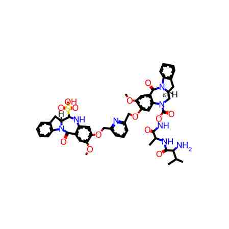 COc1cc2c(cc1OCc1cccc(COc3cc4c(cc3OC)C(=O)N3c5ccccc5C[C@H]3CN4C(=O)ONC(=O)C(C)NC(=O)C(N)C(C)C)n1)NC(S(=O)(=O)O)[C@@H]1Cc3ccccc3N1C2=O